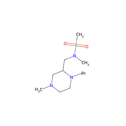 CC(C)N1CCN(C)CC1CN(C)S(C)(=O)=O